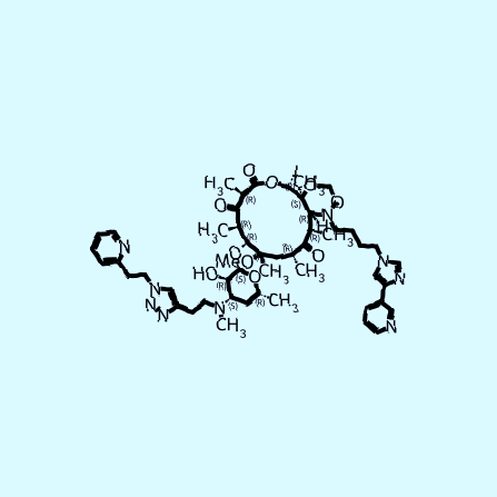 CO[C@]1(C)C[C@@H](C)C(=O)[C@H](C)[C@H]2N(CCCCn3cnc(-c4cccnc4)c3)OCO[C@]2(C)[C@@H](I)OC(=O)[C@H](C)C(=O)[C@H](C)[C@H]1O[C@@H]1O[C@H](C)C[C@H](N(C)CCc2cn(CCc3ccccn3)nn2)[C@H]1O